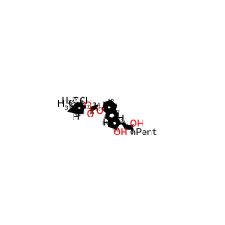 CCCCC[C@H](O)CC[C@@H]1[C@H]2Cc3cccc(OCC(=O)O[C@@H]4C[C@H]5CC5(C)C4(C)C)c3C[C@H]2C[C@H]1O